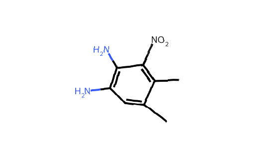 Cc1cc(N)c(N)c([N+](=O)[O-])c1C